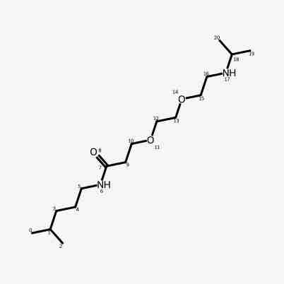 CC(C)CCCNC(=O)CCOCCOCCNC(C)C